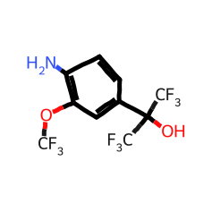 Nc1ccc(C(O)(C(F)(F)F)C(F)(F)F)cc1OC(F)(F)F